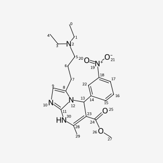 CCN(CC)CCCc1cnc2n1C(c1cccc([N+](=O)[O-])c1)C(C(=O)OC)=C(C)N2